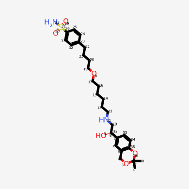 CC1(C)OCc2cc([C@H](O)CNCCCCCCOCCCCc3ccc(S(N)(=O)=O)cc3)ccc2O1